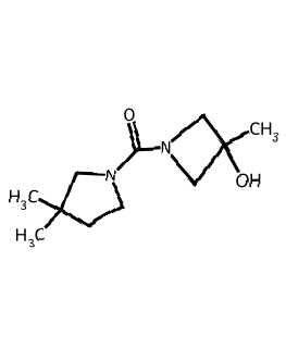 CC1(C)CCN(C(=O)N2CC(C)(O)C2)C1